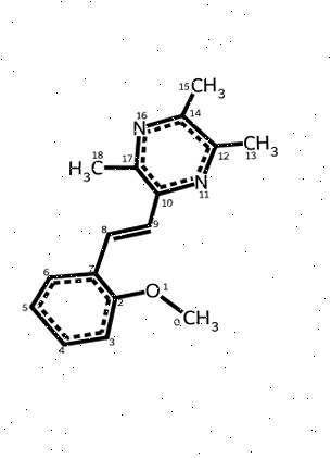 COc1ccccc1C=Cc1nc(C)c(C)nc1C